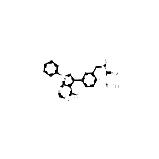 CN(Cc1cccc(-c2cn(-c3ccccc3)c3ncnc(Cl)c23)c1)C(=O)OC(C)(C)C